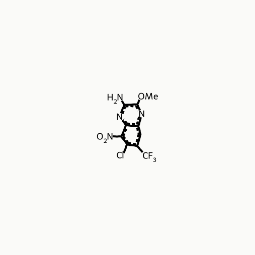 COc1nc2cc(C(F)(F)F)c(Cl)c([N+](=O)[O-])c2nc1N